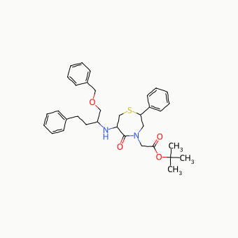 CC(C)(C)OC(=O)CN1CC(c2ccccc2)SCC(NC(CCc2ccccc2)COCc2ccccc2)C1=O